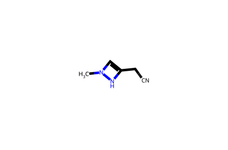 Cn1cc(CC#N)[nH]1